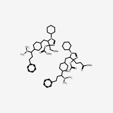 COC(=O)CCC1(OC(=O)OC)N=CN(C2CCCCC2)C1CC1CCC(C(CCc2ccccc2)N(C)C)CC1.COC(=O)OC1(CSC)N=CN(C2CCCCC2)C1CC1CCC(C(CCc2ccccc2)N(C)C)CC1